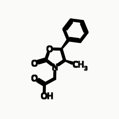 C[C@@H]1[C@H](c2ccccc2)OC(=O)N1CC(=O)O